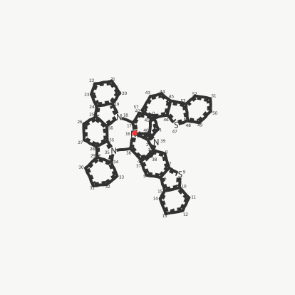 c1cc(-c2ccc3c(c2)sc2ccccc23)nc(-n2c3ccccc3c3ccc4c5ccccc5n(-c5ccnc(-c6cccc7c6sc6ccccc67)n5)c4c32)c1